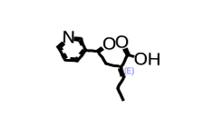 CC/C=C(\CC(=O)c1cccnc1)C(=O)O